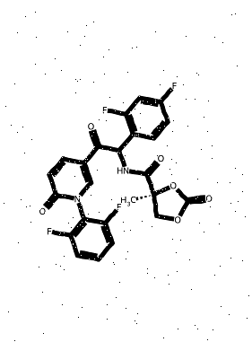 C[C@@]1(C(=O)NC(C(=O)c2ccc(=O)n(-c3c(F)cccc3F)c2)c2ccc(F)cc2F)COC(=O)O1